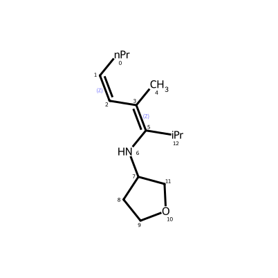 CCC/C=C\C(C)=C(/NC1CCOC1)C(C)C